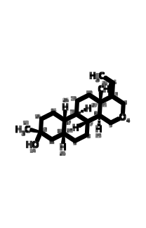 C/C=C1/COC[C@H]2[C@@H]3CC[C@@H]4C[C@](C)(O)CC[C@@H]4[C@H]3CC[C@]12C